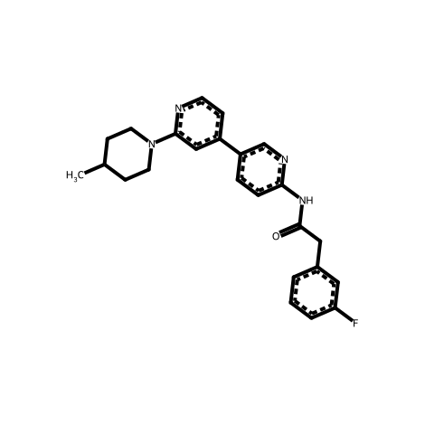 CC1CCN(c2cc(-c3ccc(NC(=O)Cc4cccc(F)c4)nc3)ccn2)CC1